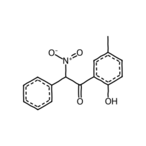 Cc1ccc(O)c(C(=O)C(c2ccccc2)[N+](=O)[O-])c1